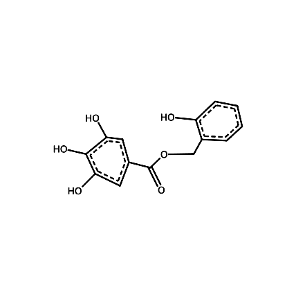 O=C(OCc1ccccc1O)c1cc(O)c(O)c(O)c1